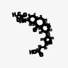 CS(=O)(=O)Nc1ccc2ccc3ncc(-c4cnn(CCC(=O)O)c4)cc3c(=O)c2c1